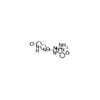 COc1cccc2c1nc(N)n1nc(CCC3CC4=CC=C(Cl)NC4=CN3)nc21